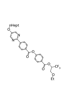 CCCCCCCOc1cnc(-c2ccc(C(=O)Oc3ccc(C(=O)OC(COCC)C(F)(F)F)cc3)cc2)nc1